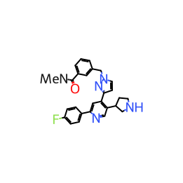 CNC(=O)c1cccc(Cn2ccc(-c3cc(-c4ccc(F)cc4)ncc3C3CCNC3)n2)c1